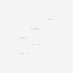 Nc1cccc2cc(OC(F)F)cnc12